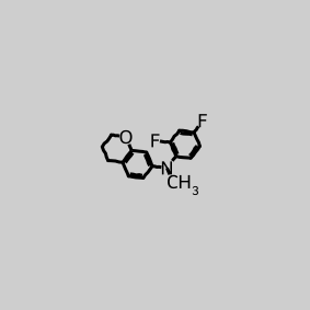 CN(c1ccc2c(c1)OCCC2)c1ccc(F)cc1F